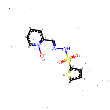 O=S(=O)(NN=Cc1cccc[n+]1[O-])c1cccs1